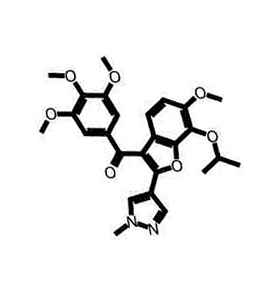 COc1cc(C(=O)c2c(-c3cnn(C)c3)oc3c(OC(C)C)c(OC)ccc23)cc(OC)c1OC